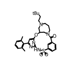 Cc1cccc(C)c1-c1cc2nc(n1)NS(=O)(=O)c1cccc(c1)C(=O)N1CCCN(CCC(C)(C)C)CC(C1)O2